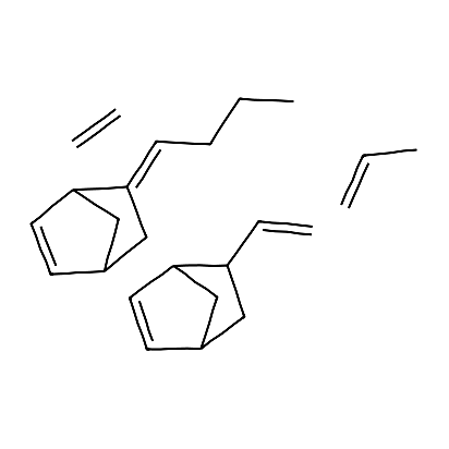 C=C.C=CC.C=CC1CC2C=CC1C2.CCCC=C1CC2C=CC1C2